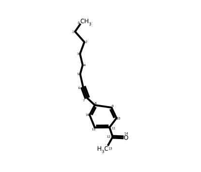 CCCCCCC#Cc1ccc(C(C)=O)cc1